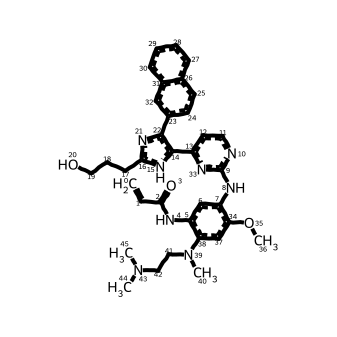 C=CC(=O)Nc1cc(Nc2nccc(-c3[nH]c(CCCO)nc3-c3ccc4ccccc4c3)n2)c(OC)cc1N(C)CCN(C)C